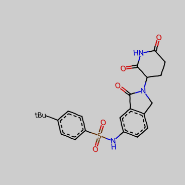 CC(C)(C)c1ccc(S(=O)(=O)Nc2ccc3c(c2)C(=O)N(C2CCC(=O)NC2=O)C3)cc1